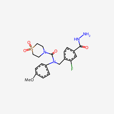 COc1ccc(N(Cc2ccc(C(=O)NN)cc2F)C(=O)N2CCS(=O)(=O)CC2)cc1